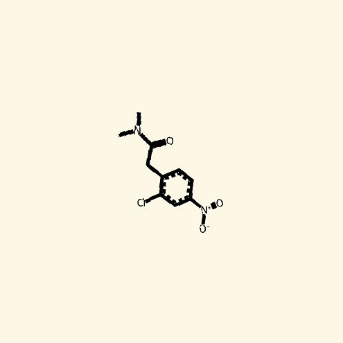 CN(C)C(=O)Cc1ccc([N+](=O)[O-])cc1Cl